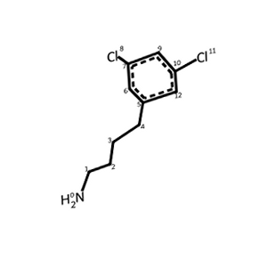 NCCCCc1cc(Cl)cc(Cl)c1